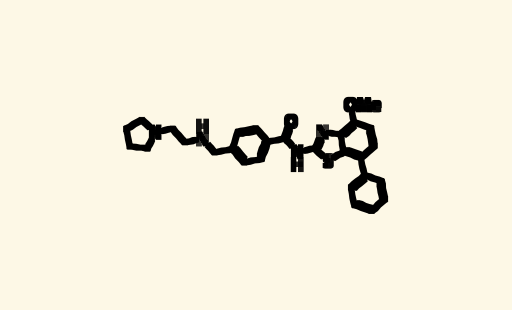 COc1ccc(-c2ccccc2)c2sc(NC(=O)c3ccc(CNCCN4CCCC4)cc3)nc12